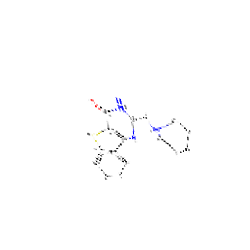 O=c1[nH]c(CN2CCCCC2)nc2c1sc1ccccc12